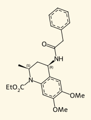 CCOC(=O)N1c2cc(OC)c(OC)cc2[C@H](NC(=O)Cc2ccccc2)C[C@@H]1C